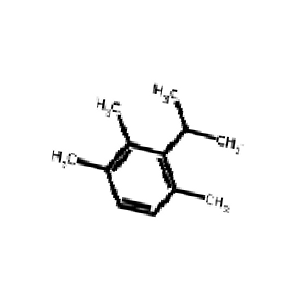 [CH2]C(C)c1c(C)ccc(C)c1C